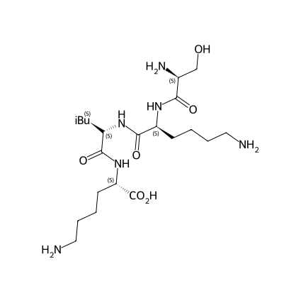 CC[C@H](C)[C@H](NC(=O)[C@H](CCCCN)NC(=O)[C@@H](N)CO)C(=O)N[C@@H](CCCCN)C(=O)O